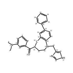 CN(C)c1cccc(C(=O)N2CCN(Cc3c[nH]cn3)c3ccc(-c4ccccc4)cc3C2)c1